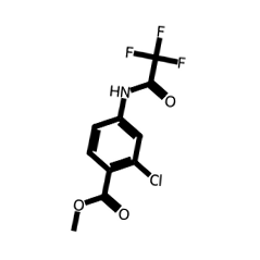 COC(=O)c1ccc(NC(=O)C(F)(F)F)cc1Cl